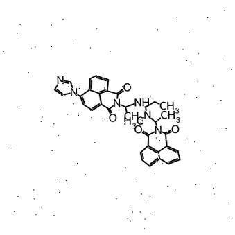 CCC(NC(C)N1C(=O)c2cccc3c(-n4ccnc4)ccc(c23)C1=O)N(C)C(C)N1C(=O)c2cccc3cccc(c23)C1=O